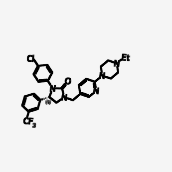 CCN1CCN(c2ccc(CN3C[C@H](c4cccc(C(F)(F)F)c4)N(c4ccc(Cl)cc4)C3=O)cn2)CC1